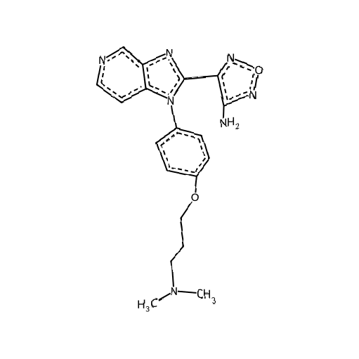 CN(C)CCCOc1ccc(-n2c(-c3nonc3N)nc3cnccc32)cc1